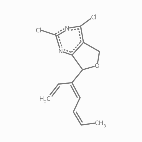 C=C/C(=C\C=C/C)C1OCc2c(Cl)nc(Cl)nc21